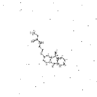 C=CC(=O)NCCSc1ccc2sc3ccccc3c(=O)c2c1